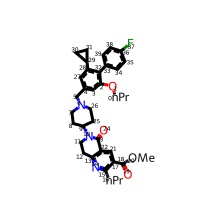 CCCOc1cc(CN2CCC(N3CCc4nc(CCC)c(C(=O)OC)cc4C3=O)CC2)cc(C2CC2)c1-c1ccc(F)cc1